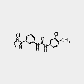 Cc1ccc(NC(=O)Nc2cccc(C3=NCCN3Cl)c2)cc1Cl